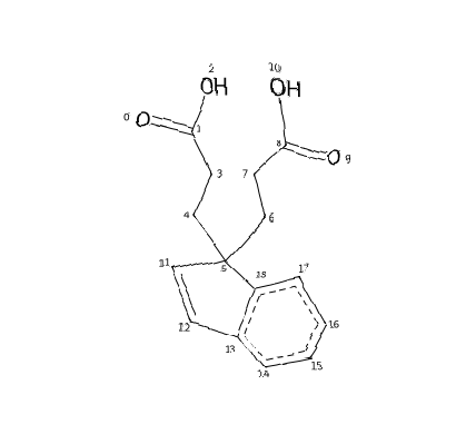 O=C(O)CCC1(CCC(=O)O)C=Cc2ccccc21